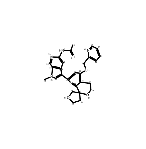 CC(=O)Nc1cc2c(-c3cc(OCc4ccccn4)c4c(n3)C3(CCOC3)OCC4)cn(C)c2cn1